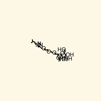 CC(=O)NC1C(OCCOCCOCCOCc2cn(CCC(C)C)nn2)OC(CO)C(O)C1O